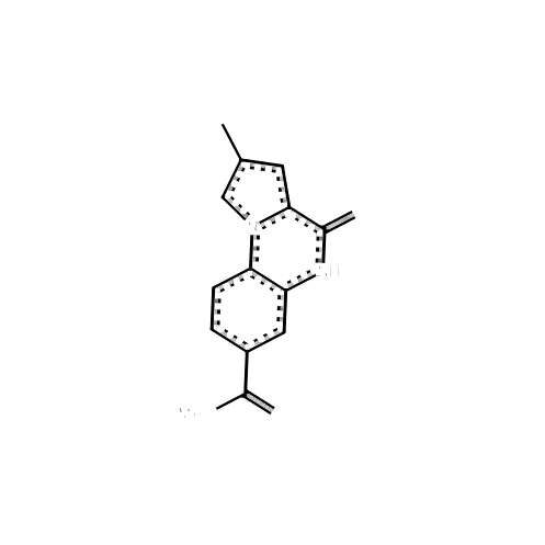 COC(=O)c1ccc2c(c1)[nH]c(=O)c1cc(C)cn12